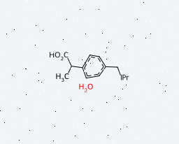 CC(C)Cc1ccc(C(C)C(=O)O)cc1.O